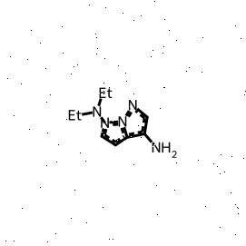 CCN(CC)n1ccc2c(N)cnn21